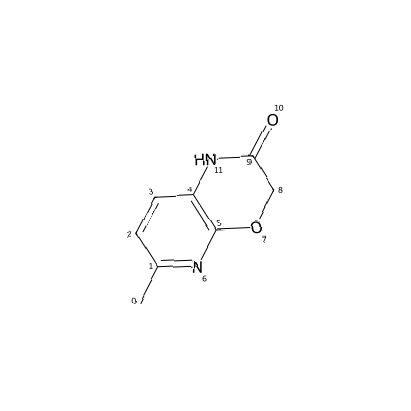 Cc1ccc2c(n1)OCC(=O)N2